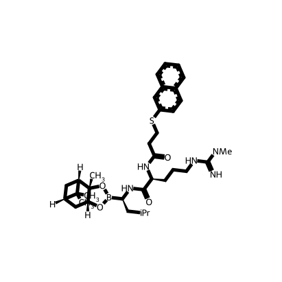 CNC(=N)NCCC[C@H](NC(=O)CCSc1ccc2ccccc2c1)C(=O)N[C@@H](CC(C)C)B1O[C@@H]2C[C@@H]3C[C@@H](C3(C)C)[C@]2(C)O1